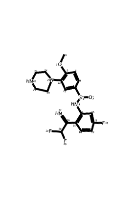 COc1ccc([S+]([O-])Nc2cc(F)ccc2C(=N)C(F)F)cc1N1CCNCC1